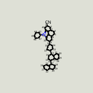 N#Cc1cc2ccc3cc(-c4ccc(-c5ccc(-c6cccc7ccccc67)c6ccccc56)cc4)cc4c3c2c(c1)n4-c1ccccc1